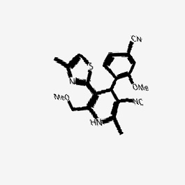 [C-]#[N+]C1=C(C)NC(COC)=C(c2nc(C)cs2)C1c1ccc(C#N)cc1OC